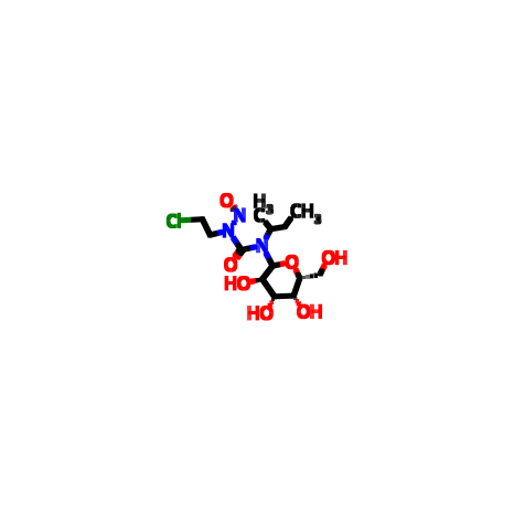 CCC(C)N(C(=O)N(CCCl)N=O)C1O[C@H](CO)[C@H](O)[C@H](O)[C@H]1O